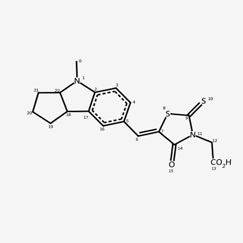 CN1c2ccc(/C=C3\SC(=S)N(CC(=O)O)C3=O)cc2C2CCCC21